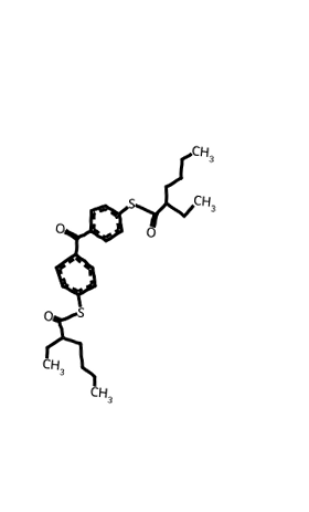 CCCCC(CC)C(=O)Sc1ccc(C(=O)c2ccc(SC(=O)C(CC)CCCC)cc2)cc1